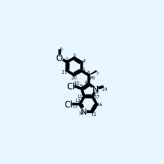 COc1ccc([C@@H](C)c2c(Cl)c3c(Cl)nccc3n2C)cc1